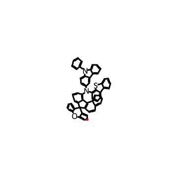 c1ccc(-n2c3ccccc3c3cc(N(c4cccc5c4-c4c(ccc6ccccc46)C54c5ccccc5Oc5ccccc54)c4cccc5c4sc4ccccc45)ccc32)cc1